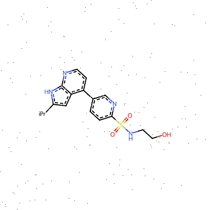 CC(C)c1cc2c(-c3ccc(S(=O)(=O)NCCO)nc3)ccnc2[nH]1